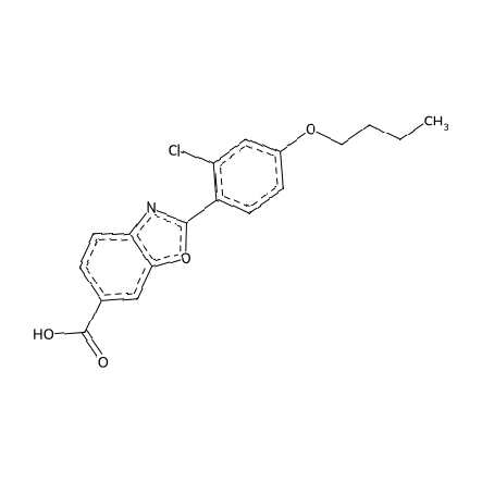 CCCCOc1ccc(-c2nc3ccc(C(=O)O)cc3o2)c(Cl)c1